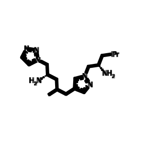 CC(C)C[C@H](N)Cn1cc(CC(C)C[C@H](N)Cn2ccnn2)cn1